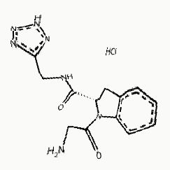 Cl.NCC(=O)N1c2ccccc2C[C@H]1C(=O)NCc1nn[nH]n1